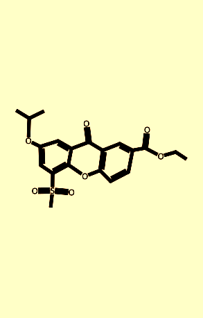 CCOC(=O)c1ccc2oc3c(S(C)(=O)=O)cc(OC(C)C)cc3c(=O)c2c1